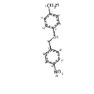 O=C(O)c1ccc(SCc2ccc([N+](=O)[O-])cc2)cc1